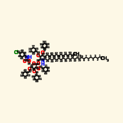 CCCCCCCCCCCCCCCCCCCCCCCCCCN[C@@H](CO[C@@H]1O[C@@H](COC(=O)Nc2ccc(Cl)cc2)[C@@H](OCc2ccccc2)[C@@H](OCc2ccccc2)[C@@H]1OCc1ccccc1)[C@H](OCc1ccccc1)[C@@H](CCCCCCCCCCCCCC)OCc1ccccc1